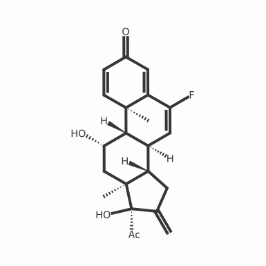 C=C1C[C@H]2[C@@H]3C=C(F)C4=CC(=O)C=C[C@]4(C)[C@H]3[C@@H](O)C[C@]2(C)[C@@]1(O)C(C)=O